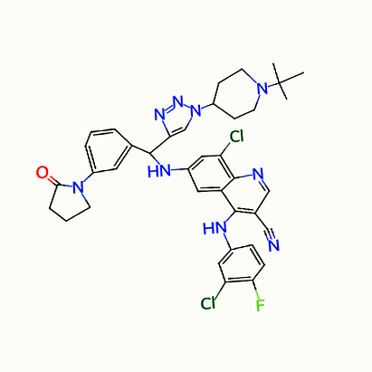 CC(C)(C)N1CCC(n2cc(C(Nc3cc(Cl)c4ncc(C#N)c(Nc5ccc(F)c(Cl)c5)c4c3)c3cccc(N4CCCC4=O)c3)nn2)CC1